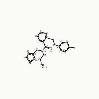 Cc1ccc(CCc2ccccc2C(=O)N(CCN)Cc2cccs2)cc1